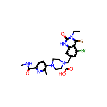 CCn1c(=O)[nH]c2cc(CN3CCN(c4ccc(C(=O)NC)nc4C)CC3)cc(Br)c2c1=S.O=CO